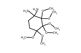 COC1(OC)CCC([SiH3])([SiH3])C(OC)(OC)C1(OC)OC